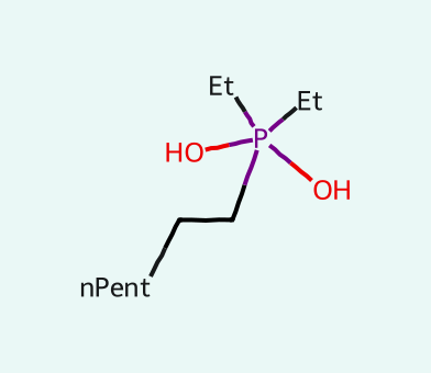 CCCCCCCP(O)(O)(CC)CC